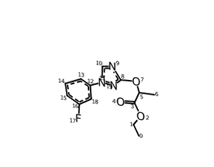 CCOC(=O)C(C)Oc1ncn(-c2cccc(F)c2)n1